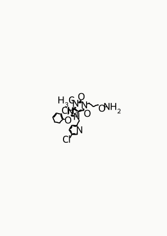 CC1=C(Oc2nc3c(c(=O)n(CCCON)c(=O)n3C)n2Cc2ccc(Cl)cn2)CCC=C1